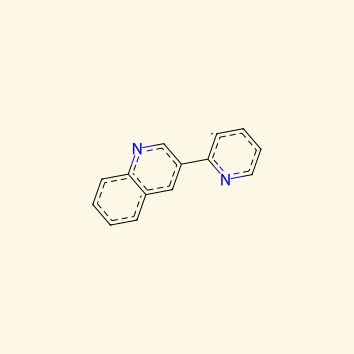 [c]1cccnc1-c1cnc2ccccc2c1